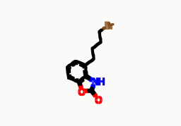 O=c1[nH]c2c(CCCCBr)cccc2o1